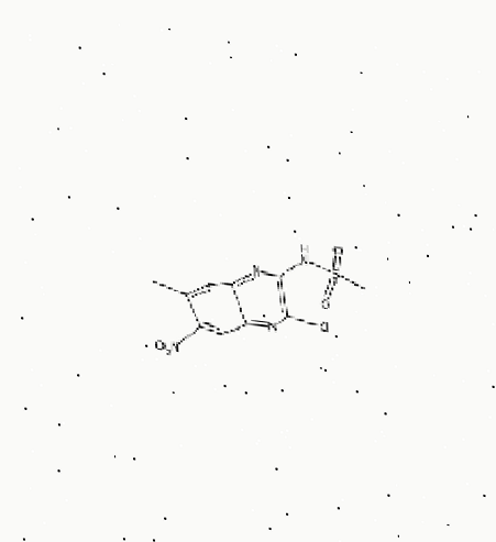 Cc1cc2nc(NS(C)(=O)=O)c(Cl)nc2cc1[N+](=O)[O-]